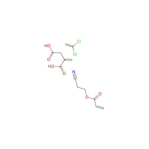 C=C(CC(=O)O)C(=O)O.C=C(Cl)Cl.C=CC(=O)OCCC#N